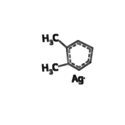 Cc1ccccc1C.[Ag]